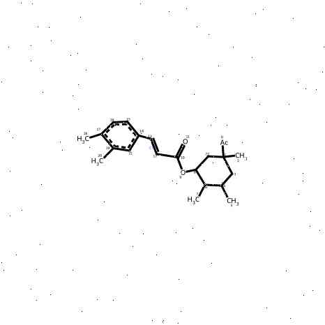 CC(=O)C1(C)CC(C)C(C)C(OC(=O)/C=C/c2ccc(C)c(C)c2)C1